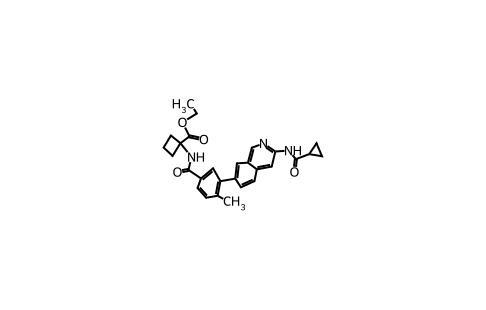 CCOC(=O)C1(NC(=O)c2ccc(C)c(-c3ccc4cc(NC(=O)C5CC5)ncc4c3)c2)CCC1